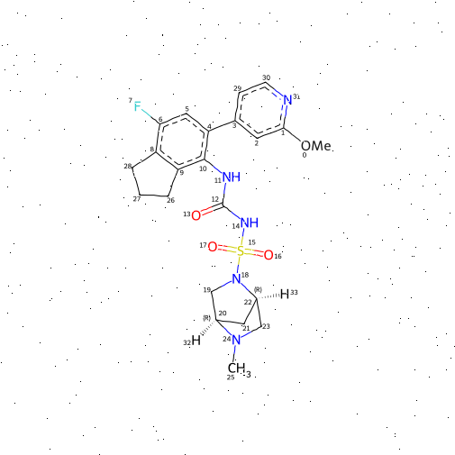 COc1cc(-c2cc(F)c3c(c2NC(=O)NS(=O)(=O)N2C[C@H]4C[C@@H]2CN4C)CCC3)ccn1